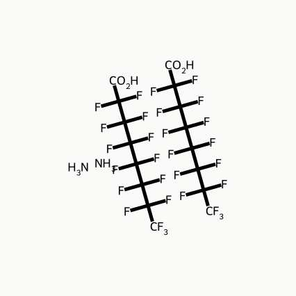 N.N.O=C(O)C(F)(F)C(F)(F)C(F)(F)C(F)(F)C(F)(F)C(F)(F)C(F)(F)F.O=C(O)C(F)(F)C(F)(F)C(F)(F)C(F)(F)C(F)(F)C(F)(F)C(F)(F)F